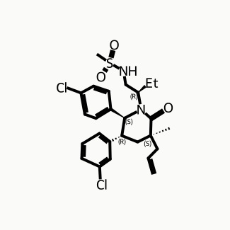 C=CC[C@@]1(C)C[C@H](c2cccc(Cl)c2)[C@@H](c2ccc(Cl)cc2)N([C@H](CC)CNS(C)(=O)=O)C1=O